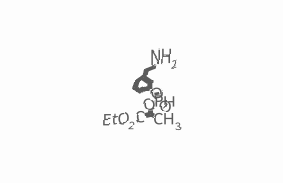 CCOC(=O)C(C)O[PH](=O)Oc1cccc(CCN)c1